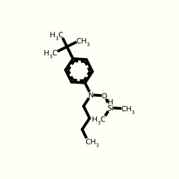 CCCCN(O[SiH](C)C)c1ccc(C(C)(C)C)cc1